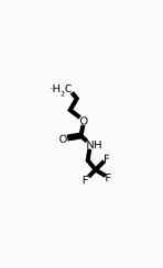 [CH2]CCOC(=O)NCC(F)(F)F